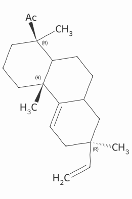 C=C[C@@]1(C)CC=C2C(CCC3[C@](C)(C(C)=O)CCC[C@@]23C)C1